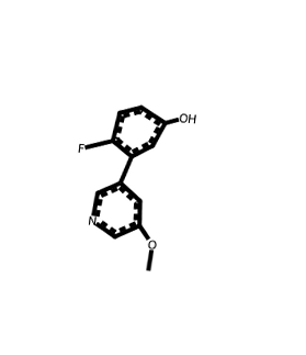 COc1cncc(-c2cc(O)ccc2F)c1